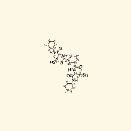 CC(C)(S)C(NC(=O)c1cccc(C(=O)NC(C(=O)Nc2ccccc2)C(C)(C)S)c1)C(=O)Nc1ccccc1